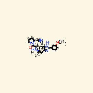 COc1cccc(-c2nc(CC(C)(C)NCC(=O)N3CCC[C@H]3C#N)c(C)[nH]2)c1